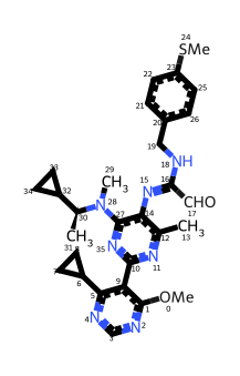 COc1ncnc(C2CC2)c1-c1nc(C)c(/N=C(\C=O)NCc2ccc(SC)cc2)c(N(C)[C@@H](C)C2CC2)n1